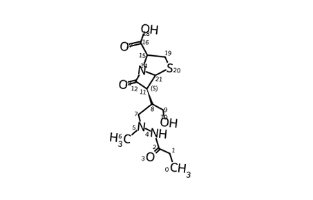 CCC(=O)NN(C)CC(CO)[C@H]1C(=O)N2C(C(=O)O)CSC12